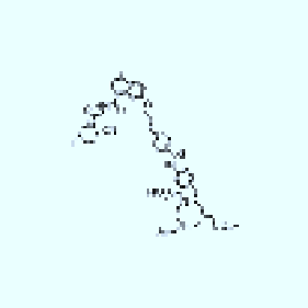 CC(=O)CN1CCN(CC(=O)O)C[C@H](Cc2ccc(NC(=S)N3CCN(CCCOc4ccc5nccc(C(=O)NCC(=O)N6CC(F)(F)CC[C@H]6C#N)c5c4)CC3)cc2)N(CC(=O)O)CC1